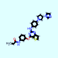 C=CC(=O)Nc1cccc(Oc2nc(Nc3ccc(N4CC[C@H](n5ccnc5)C4)cc3)nc3ccsc23)c1